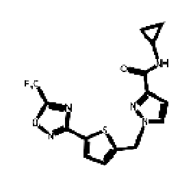 O=C(NC1CC1)c1ccn(Cc2ccc(-c3noc(C(F)(F)F)n3)s2)n1